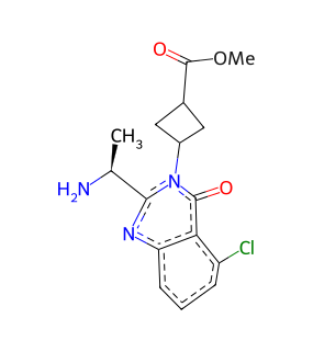 COC(=O)C1CC(n2c([C@H](C)N)nc3cccc(Cl)c3c2=O)C1